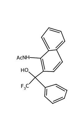 CC(=O)Nc1c(C(O)(c2ccccc2)C(F)(F)F)ccc2ccccc12